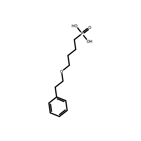 O=P(O)(O)CCCCOCCc1ccccc1